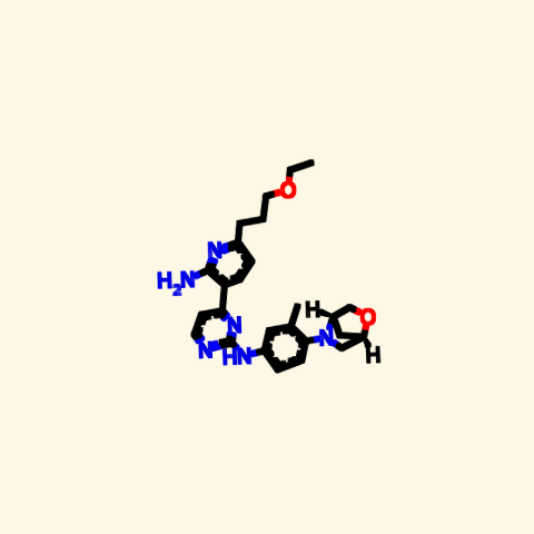 CCOCCCc1ccc(-c2ccnc(Nc3ccc(N4C[C@@H]5C[C@H]4CO5)c(C)c3)n2)c(N)n1